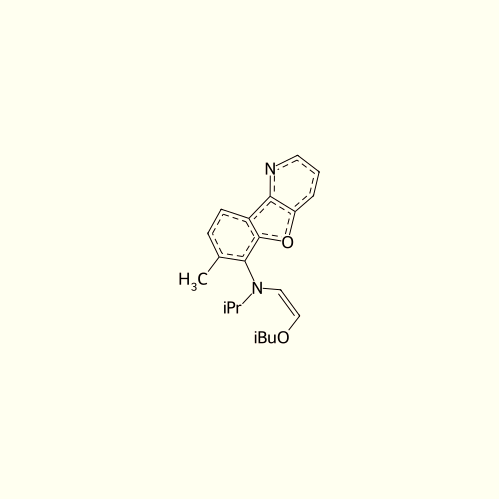 Cc1ccc2c(oc3cccnc32)c1N(/C=C\OCC(C)C)C(C)C